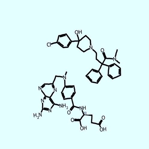 CN(C)C(=O)C(CCN1CCC(O)(c2ccc(Cl)cc2)CC1)(c1ccccc1)c1ccccc1.CN(Cc1cnc2nc(N)nc(N)c2n1)c1ccc(C(=O)N[C@@H](CCC(=O)O)C(=O)O)cc1